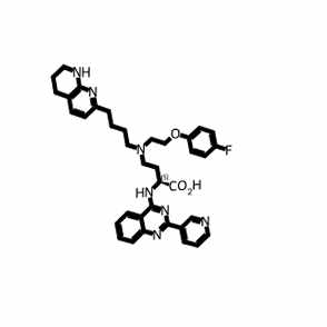 O=C(O)[C@H](CCN(CCCCc1ccc2c(n1)NCCC2)CCOc1ccc(F)cc1)Nc1nc(-c2cccnc2)nc2ccccc12